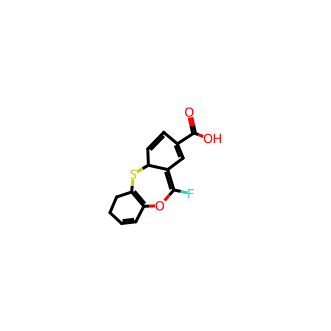 O=C(O)C1=CC2=C(F)OC3=C(CCC=C3)SC2C=C1